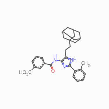 Cc1ccccc1-c1nc(NC(=O)c2cccc(C(=O)O)c2)c(CCC23CC4CC(CC(C4)C2)C3)[nH]1